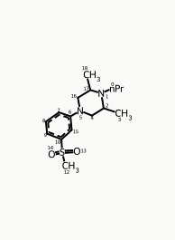 CCCN1C(C)CN(c2cccc(S(C)(=O)=O)c2)CC1C